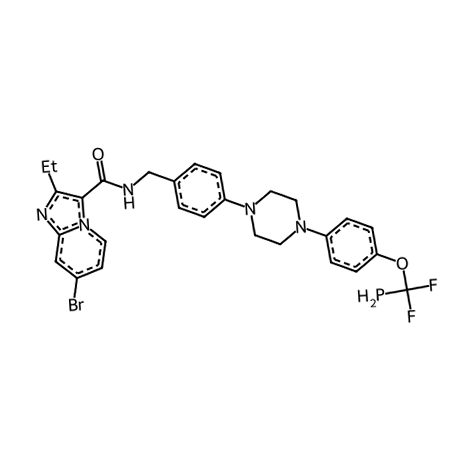 CCc1nc2cc(Br)ccn2c1C(=O)NCc1ccc(N2CCN(c3ccc(OC(F)(F)P)cc3)CC2)cc1